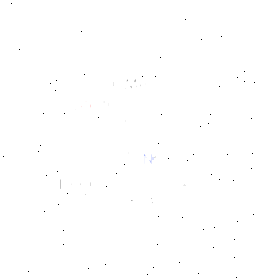 COC(=O)/C=C/c1nc(C(F)(F)F)ccc1C(=O)O